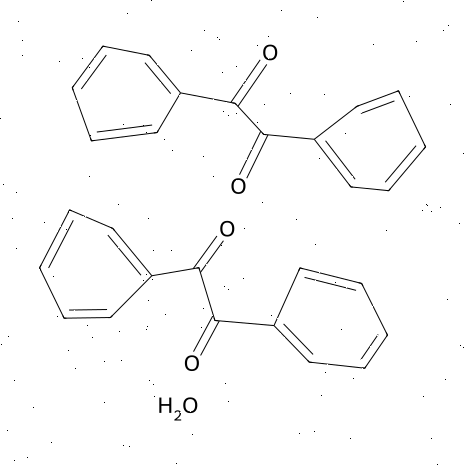 O.O=C(C(=O)c1ccccc1)c1ccccc1.O=C(C(=O)c1ccccc1)c1ccccc1